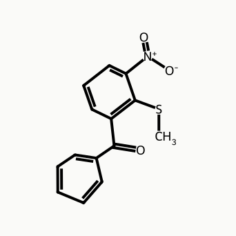 CSc1c(C(=O)c2ccccc2)cccc1[N+](=O)[O-]